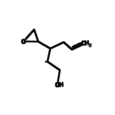 C=CCC([CH]CO)C1CO1